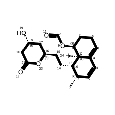 C[C@H]1C=CC2=CCC[C@H](OC=O)[C@@H]2[C@H]1CC[C@@H]1C[C@@H](O)CC(=O)O1